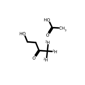 CC(=O)O.[2H]C([2H])([2H])C(=O)CCO